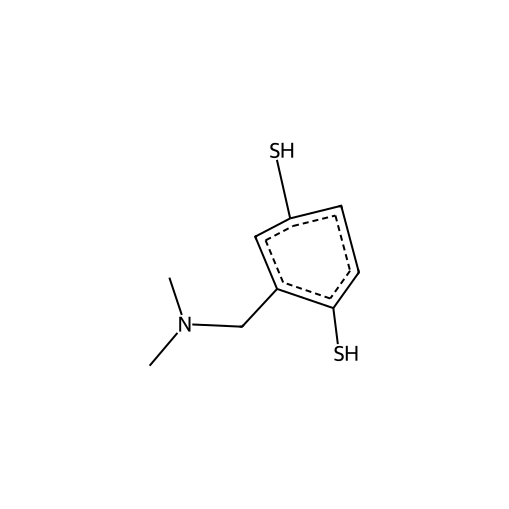 CN(C)Cc1cc(S)ccc1S